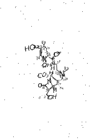 C[C@@H](O)[C@H]1C(=O)N2C(C(=O)O)=C(CN(C)CCNC(=O)c3cc(=O)c(O)cn3O)[C@H](C)[C@H]12